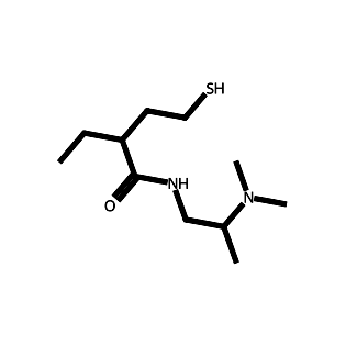 CCC(CCS)C(=O)NCC(C)N(C)C